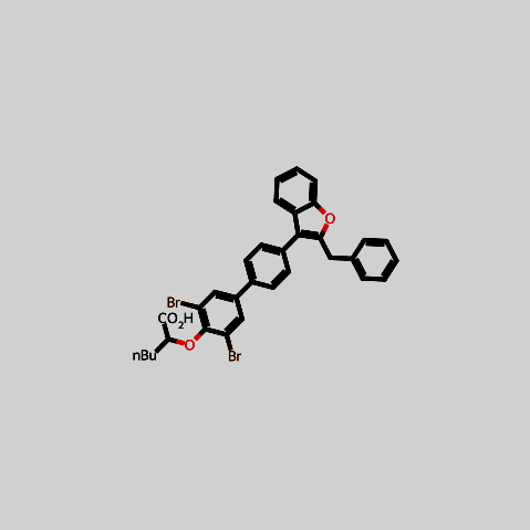 CCCCC(Oc1c(Br)cc(-c2ccc(-c3c(Cc4ccccc4)oc4ccccc34)cc2)cc1Br)C(=O)O